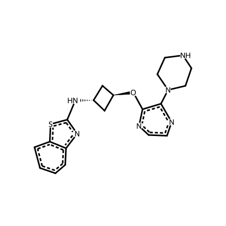 c1ccc2sc(N[C@H]3C[C@H](Oc4nccnc4N4CCNCC4)C3)nc2c1